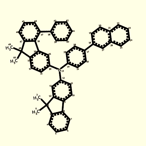 CC1(C)c2ccccc2-c2ccc(N(c3ccc(-c4ccc5ccccc5c4)cc3)c3ccc4c(c3)-c3c(-c5ccccc5)cccc3C4(C)C)cc21